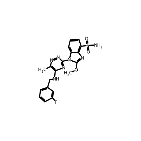 COc1nc2c(S(N)(=O)=O)cccc2n1-c1nnc(C)c(NCc2cccc(F)c2)n1